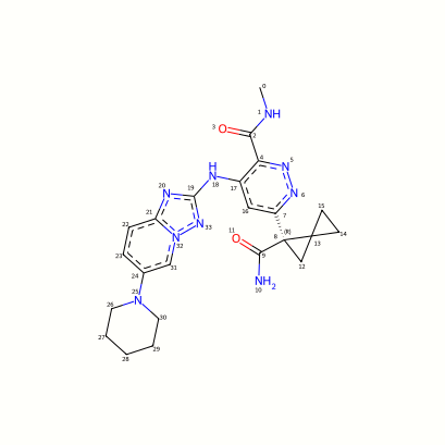 CNC(=O)c1nnc([C@@]2(C(N)=O)CC23CC3)cc1Nc1nc2ccc(N3CCCCC3)cn2n1